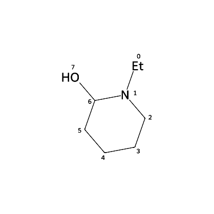 CCN1CCCCC1O